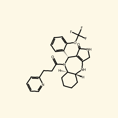 O=C1NCC2=C1[C@@H](c1ccccc1OC(F)(F)F)N(C(=O)CCc1ccccn1)[C@@H]1CCCC[C@H]1N2